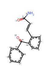 NC(=O)C=Cc1ccccc1C(=O)c1ccccc1